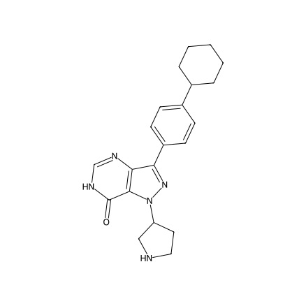 O=c1[nH]cnc2c(-c3ccc(C4CCCCC4)cc3)nn(C3CCNC3)c12